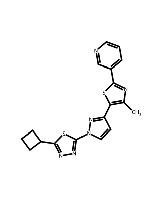 Cc1nc(-c2cccnc2)sc1-c1ccn(-c2nnc(C3CCC3)s2)n1